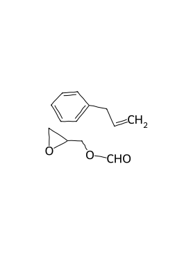 C=CCc1ccccc1.O=COCC1CO1